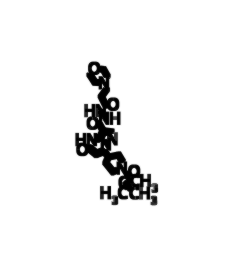 CC(C)(C)OC(=O)N1CCC(c2cc(=O)[nH]c3c(C(=O)NNC(=O)CCN4CCOCC4)cnn23)CC1